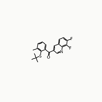 Cc1cccc(C(=O)c2cnc3c(F)c(F)ccc3c2)c1SC(C)(C)C